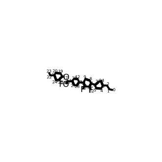 CCCc1ccc(-c2ccc(-c3ccc(C(=O)Oc4ccc(CC)cc4F)cc3)c(F)c2F)cc1